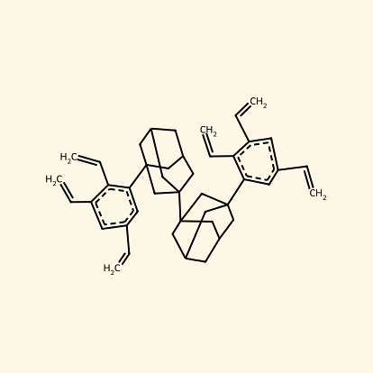 C=Cc1cc(C=C)c(C=C)c(C23CC4CC(C2)CC(C25CC6CC(CC(c7cc(C=C)cc(C=C)c7C=C)(C6)C2)C5)(C4)C3)c1